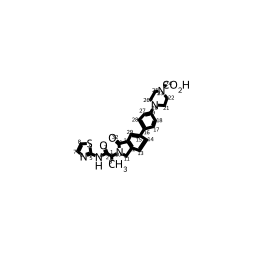 CC(C(=O)Nc1nccs1)N1Cc2ccc(-c3ccc(N4CCN(C(=O)O)CC4)cc3)cc2C1=O